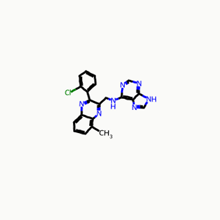 Cc1cccc2nc(-c3ccccc3Cl)c(CNc3ncnc4[nH]cnc34)nc12